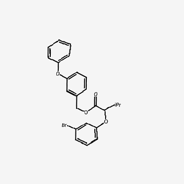 CC(C)C(Oc1cccc(Br)c1)C(=O)OCc1cccc(Oc2ccccc2)c1